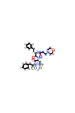 CC(C)C[C@H](NC(=O)[C@H](CCc1ccccc1)NC(=O)CCN1CCOCC1)C(=O)N[C@@H](Cc1ccccc1)C(=O)O